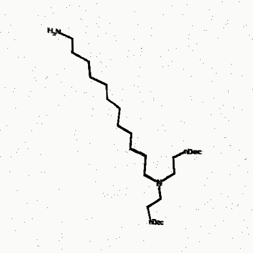 CCCCCCCCCCCCN(CCCCCCCCCCCC)CCCCCCCCCCCCN